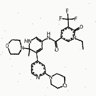 CCn1cc(C(=O)NC2=CNC(C)(N3CCOCC3)C(c3ccnc(N4CCOCC4)c3)=C2)cc(C(F)(F)F)c1=O